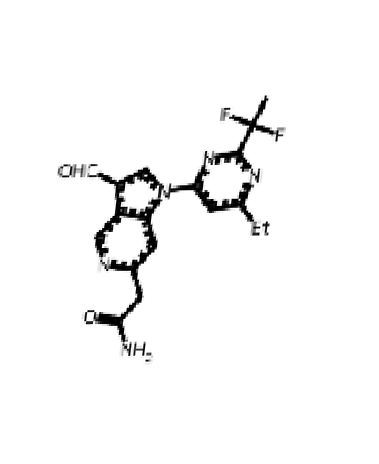 CCc1cc(-n2cc(C=O)c3cnc(CC(N)=O)cc32)nc(C(C)(F)F)n1